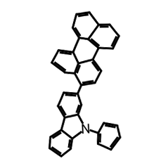 c1ccc(-n2c3ccccc3c3ccc(-c4ccc5c6cccc7cccc(c8cccc4c85)c76)cc32)cc1